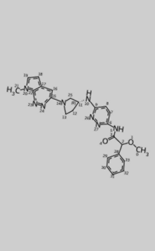 COC(C(=O)Nc1ccc(N[C@@H]2CCN(c3cc4ccn(C)c4nn3)C2)nn1)c1ccccc1